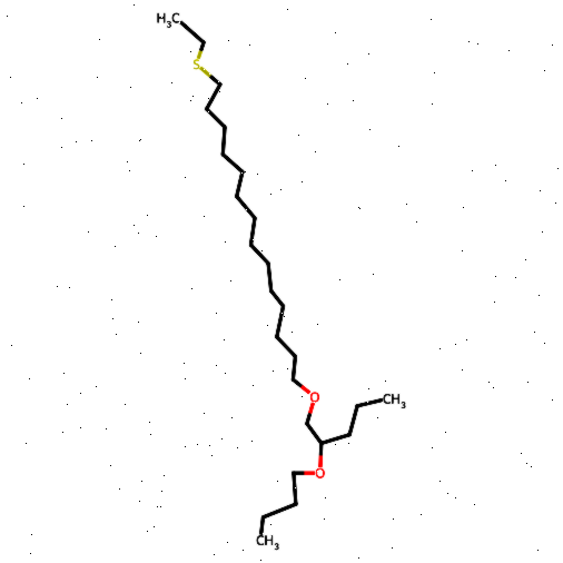 CCCCOC(CCC)COCCCCCCCCCCCCCCSCC